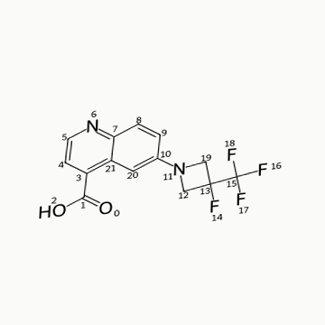 O=C(O)c1ccnc2ccc(N3CC(F)(C(F)(F)F)C3)cc12